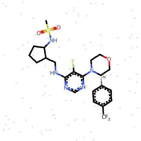 CS(=O)(=O)NC1CCCC1CNc1ncnc(N2CCOC[C@@H]2c2ccc(C(F)(F)F)cc2)c1F